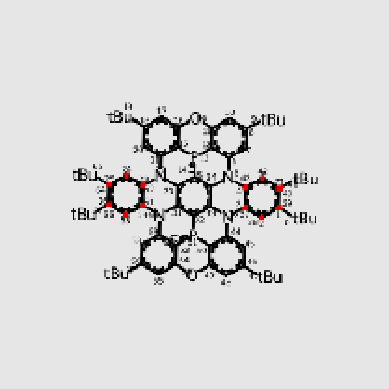 CC(C)(C)c1ccc(N2c3cc(C(C)(C)C)cc4c3P3(=S)c5c(cc(C(C)(C)C)cc5N(c5ccc(C(C)(C)C)cc5)c5c6c7c(c2c53)N(c2ccc(C(C)(C)C)cc2)c2cc(C(C)(C)C)cc3c2P7(=S)c2c(cc(C(C)(C)C)cc2N6c2ccc(C(C)(C)C)cc2)O3)O4)cc1